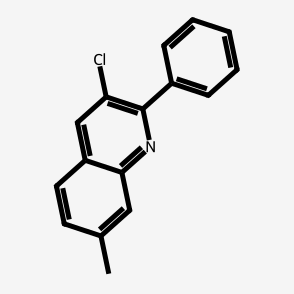 Cc1ccc2cc(Cl)c(-c3ccccc3)nc2c1